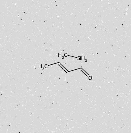 CC=C[C]=O.C[SiH3]